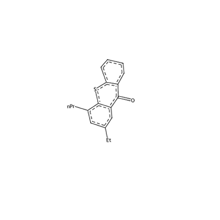 CCCc1cc(CC)cc2c(=O)c3ccccc3sc12